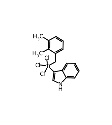 Cc1cccc([CH2][Ti]([Cl])([Cl])([Cl])[c]2c[nH]c3ccccc23)c1C